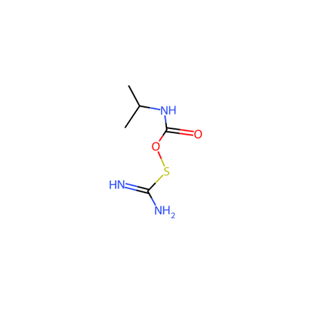 CC(C)NC(=O)OSC(=N)N